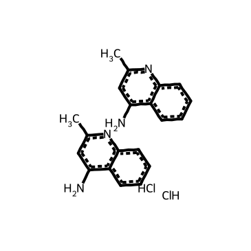 Cc1cc(N)c2ccccc2n1.Cc1cc(N)c2ccccc2n1.Cl.Cl